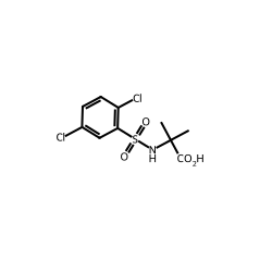 CC(C)(NS(=O)(=O)c1cc(Cl)ccc1Cl)C(=O)O